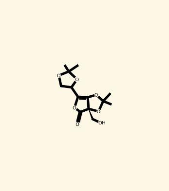 CC1(C)OCC(C2=C3OC(C)(C)O[C@]3(CO)C(=O)O2)O1